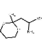 CCCC(N)CC1(C)OCCCO1